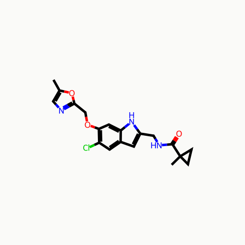 Cc1cnc(COc2cc3[nH]c(CNC(=O)C4(C)CC4)cc3cc2Cl)o1